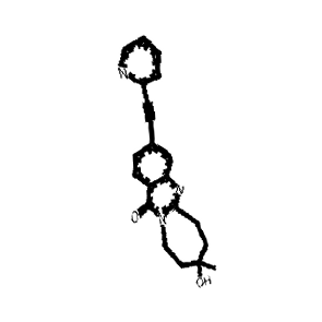 CC1(O)CCc2nc3cc(C#Cc4ccccn4)ccc3c(=O)n2CC1